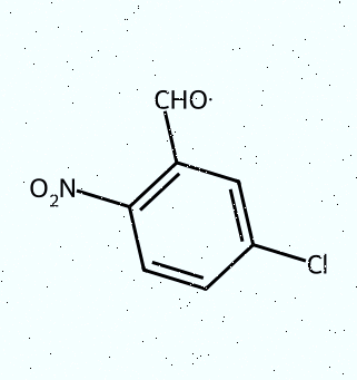 O=[C]c1cc(Cl)ccc1[N+](=O)[O-]